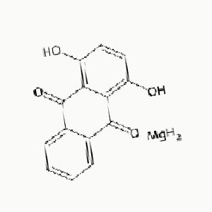 O=C1c2ccccc2C(=O)c2c(O)ccc(O)c21.[MgH2]